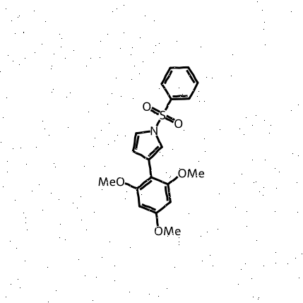 COc1cc(OC)c(-c2ccn(S(=O)(=O)c3ccccc3)c2)c(OC)c1